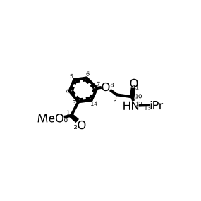 COC(=O)c1cccc(OCC(=O)NC(C)C)c1